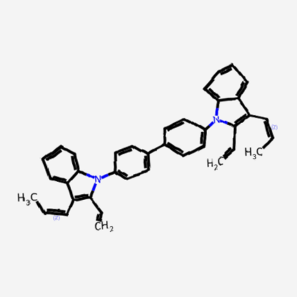 C=Cc1c(/C=C\C)c2ccccc2n1-c1ccc(-c2ccc(-n3c(C=C)c(/C=C\C)c4ccccc43)cc2)cc1